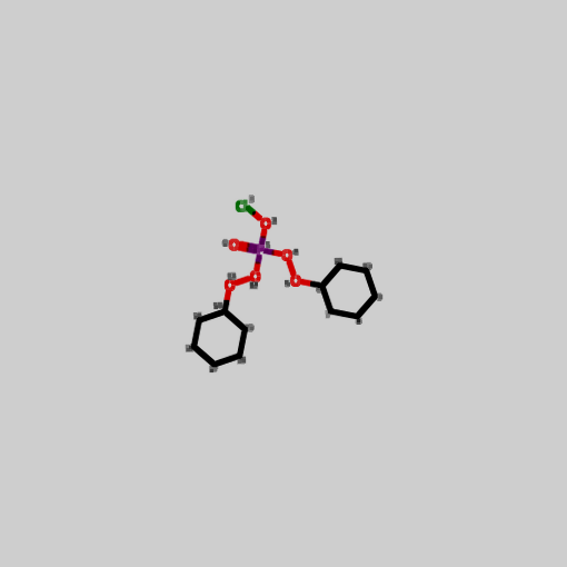 O=P(OCl)(OOC1CCCCC1)OOC1CCCCC1